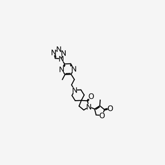 CC1=C(N2CCC3(CCN(CCc4ncc(-n5cnnn5)nc4C)CC3)C2=O)COC1=O